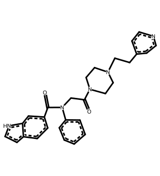 O=C(CN(C(=O)c1ccc2cc[nH]c2c1)c1ccccc1)N1CCN(CCc2ccncc2)CC1